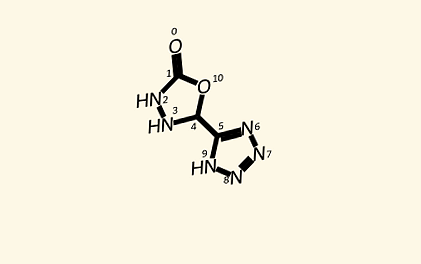 O=C1NNC(c2nnn[nH]2)O1